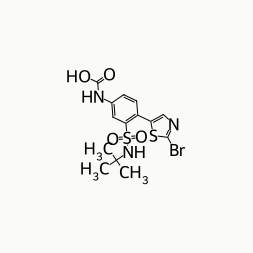 CC(C)(C)NS(=O)(=O)c1cc(NC(=O)O)ccc1-c1cnc(Br)s1